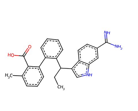 CCC(c1ccccc1-c1cccc(C)c1C(=O)O)c1c[nH]c2cc(C(=N)N)ccc12